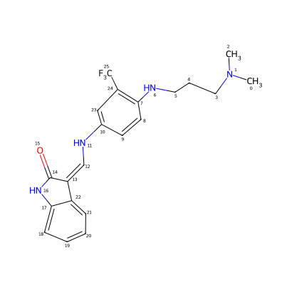 CN(C)CCCNc1ccc(NC=C2C(=O)Nc3ccccc32)cc1C(F)(F)F